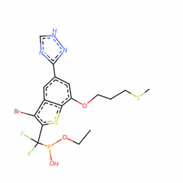 CCOP(O)C(F)(F)c1sc2c(OCCCSC)cc(-c3nc[nH]n3)cc2c1Br